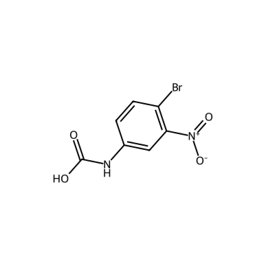 O=C(O)Nc1ccc(Br)c([N+](=O)[O-])c1